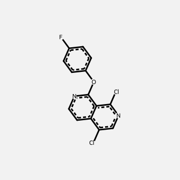 Fc1ccc(Oc2nccc3c(Cl)cnc(Cl)c23)cc1